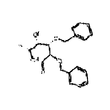 C[C@@H](O)[C@H](O)[C@H](OCc1ccccc1)[C@H](C=O)OCc1ccccc1